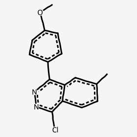 COc1ccc(-c2nnc(Cl)c3ccc(C)cc23)cc1